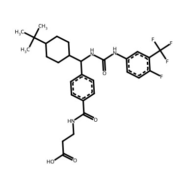 CC(C)(C)C1CCC(C(NC(=O)Nc2ccc(F)c(C(F)(F)F)c2)c2ccc(C(=O)NCCC(=O)O)cc2)CC1